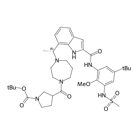 COc1c(NC(=O)c2cc3cccc([C@@H](C)N4CCCN(C(=O)C5CCN(C(=O)OC(C)(C)C)C5)CC4)c3[nH]2)cc(C(C)(C)C)cc1NS(C)(=O)=O